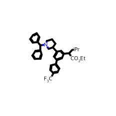 CCOC(=O)C(CC(C)C)c1cc(-c2ccc(C(F)(F)F)cc2)cc(C2CCCN(C(c3ccccc3)c3ccccc3)C2)c1